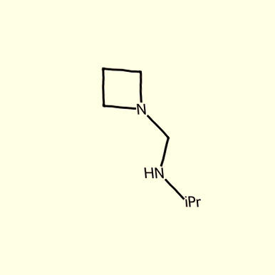 CC(C)NCN1CCC1